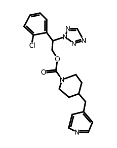 O=C(OCC(c1ccccc1Cl)n1ncnn1)N1CCC(Cc2ccncc2)CC1